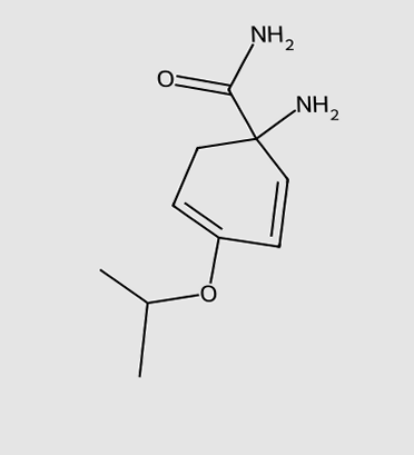 CC(C)OC1=CCC(N)(C(N)=O)C=C1